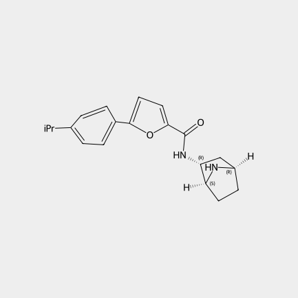 CC(C)c1ccc(-c2ccc(C(=O)N[C@@H]3C[C@H]4CC[C@@H]3N4)o2)cc1